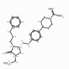 N=C(N)N1CCC(c2ccc(OC[C@@H]3C[C@@H](CC(=O)O)C(=O)N3CCCc3ccccc3)cc2)CC1